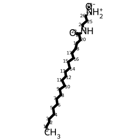 CCCCCCCCCCCCCCCCCCCCCC(=O)NCCC[NH2+][O-]